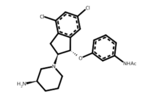 CC(=O)Nc1cccc(O[C@H]2c3cc(Cl)cc(Cl)c3C[C@@H]2N2CCC[C@@H](N)C2)c1